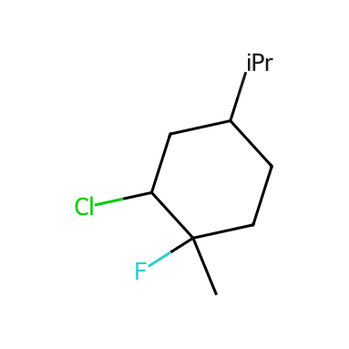 CC(C)C1CCC(C)(F)C(Cl)C1